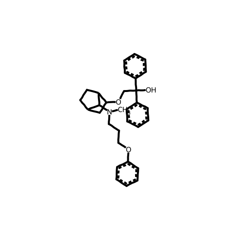 CN(CCCOc1ccccc1)C1C2CCC1C(OCC(O)(c1ccccc1)c1ccccc1)C2